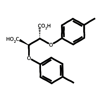 Cc1ccc(O[C@@H](C(=O)O)[C@@H](Oc2ccc(C)cc2)C(=O)O)cc1